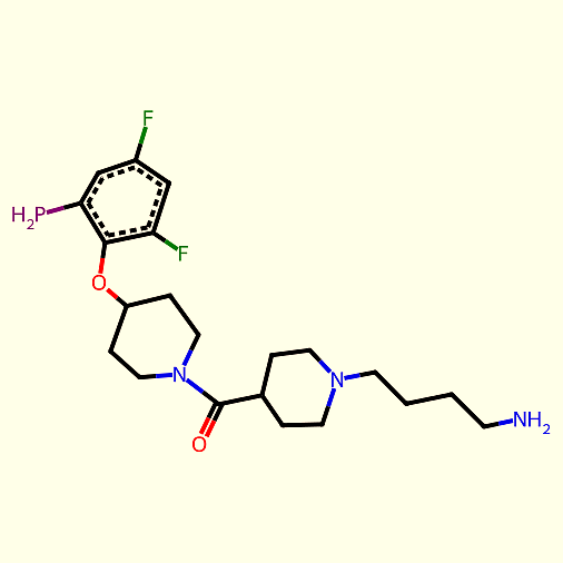 NCCCCN1CCC(C(=O)N2CCC(Oc3c(F)cc(F)cc3P)CC2)CC1